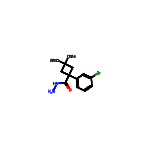 COC1(OC)CC(C(=O)NN)(c2cccc(Br)c2)C1